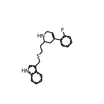 Fc1ccccc1C1=CCNC(CCSCc2c[nH]c3ccccc23)C1